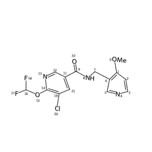 COc1ccncc1CNC(=O)c1cnc(OC(F)F)c(Cl)c1